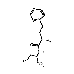 CC(C)C[C@H](NC(=O)[C@@H](S)CCc1ccccc1)C(=O)O